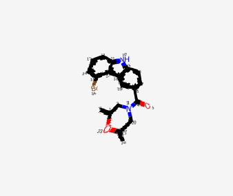 CC1CN(C(=O)c2ccc3[nH]c4cccc(Br)c4c3c2)CC(C)O1